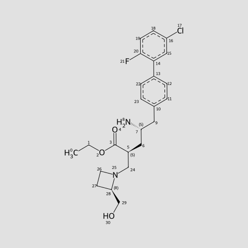 CCOC(=O)[C@@H](C[C@H](N)Cc1ccc(-c2cc(Cl)ccc2F)cc1)CN1CC[C@@H]1CO